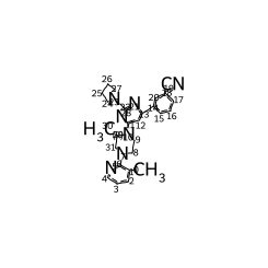 Cc1cccnc1N1CCN(c2cc(-c3cccc(C#N)c3)nc(N3CCCC3)n2)[C@H](C)C1